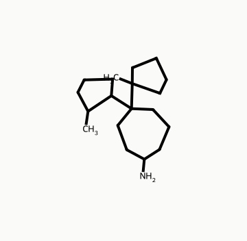 CC1CCCC1C1(C2(C)CCCC2)CCCC(N)CC1